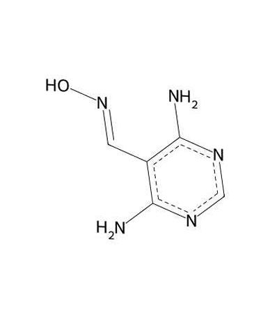 Nc1ncnc(N)c1C=NO